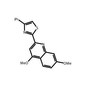 COc1ccc2c(OC)cc(-c3nc(C(C)C)cs3)nc2c1